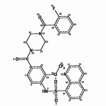 O=C(c1ccc(NS(=O)(=O)c2cccc3cccnc23)c(OC(F)(F)F)c1)N1CCN(C(=O)c2ccccc2F)CC1